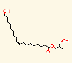 CC(CO)COC(=O)CCCCCCC/C=C\CCCCCCCCO